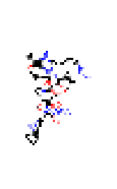 CC[C@H](C)C([C@@H](CC(=O)N1CCC[C@H]1[C@H](OC)[C@@H](C)C(=O)N[C@@H](Cc1c[nH]c2ccccc12)C(N)=O)OC)N(C)C(=O)[C@@H](NC(=O)[C@H](C(C)C)N(C)CCCCCCN)C(C)C